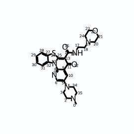 CN1CCN(c2cnc3c(c2)c(=O)c(C(=O)NCCN2CCOCC2)c2sc4ccccc4n23)CC1